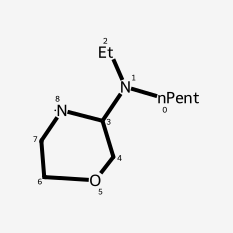 CCCCCN(CC)C1COCC[N]1